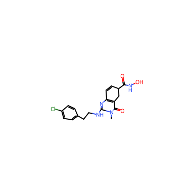 Cn1c(NCCc2ccc(Cl)cc2)nc2c(c1=O)CC(C(=O)NO)C=C2